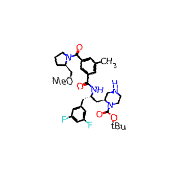 COC[C@H]1CCCN1C(=O)c1cc(C)cc(C(=O)N[C@@H](Cc2cc(F)cc(F)c2)C[C@H]2CNCCN2C(=O)OC(C)(C)C)c1